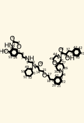 O=C1COc2c(CCNCCN(C(=O)CCOCCc3cccc(CN4CCC5(CC4)CN(C(=O)C(O)Cc4ccccc4)CCO5)c3)C3CCCCC3)ccc(O)c2N1